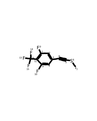 Fc1cc(C#CSI)cc(F)c1C(F)(F)F